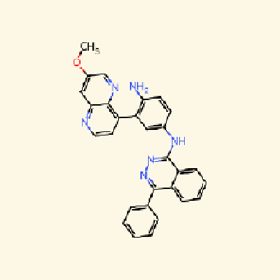 COc1cnc2c(-c3cc(Nc4nnc(-c5ccccc5)c5ccccc45)ccc3N)ccnc2c1